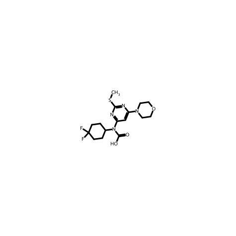 CSc1nc(N2CCOCC2)cc(N(C(=O)O)C2CCC(F)(F)CC2)n1